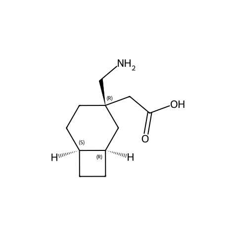 NC[C@]1(CC(=O)O)CC[C@@H]2CC[C@@H]2C1